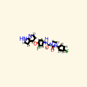 O=C(Nc1ccc(Oc2ccnc3c2CCN3)c(F)c1)N1CCN(c2ccc(F)cc2)C1=O